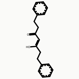 O=C(C=C(O)CCc1ccccc1)CCc1ccccc1